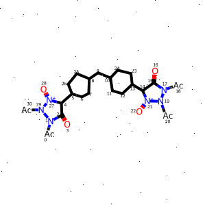 CC(=O)N1C(=O)C(C2CCC(CC3CCC(C4C(=O)N(C(C)=O)N(C(C)=O)[N+]4=O)CC3)CC2)[N+](=O)N1C(C)=O